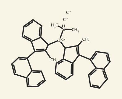 CC1=C(c2cccc3ccccc23)c2ccccc2[CH]1[Zr+2]([CH]1C(C)=C(c2cccc3ccccc23)c2ccccc21)[SiH](C)C.[Cl-].[Cl-]